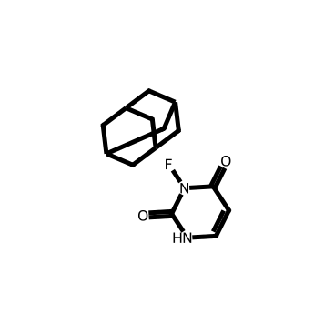 C1C2CC3CC1CC(C2)C3.O=c1cc[nH]c(=O)n1F